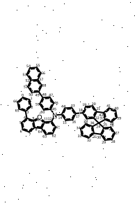 c1ccc(-c2cccc3c2oc2c(N(c4ccc(-c5ccc6c(c5)C5(c7ccccc7-c7ccccc75)c5ccccc5-6)cc4)c4ccc(-c5ccc6ccccc6c5)cc4)cccc23)cc1